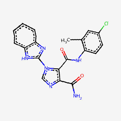 Cc1cc(Cl)ccc1NC(=O)c1c(C(N)=O)ncn1-c1nc2ccccc2[nH]1